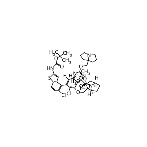 CC(C)(C)OC(=O)Nc1cc2c(-c3c(Cl)c4c5c(nc(OCC67CCCN6CCC7)nc5c3F)N3C[C@H]5CC[C@@H]([C@H]3CO4)N5C(=O)OC(C)(C)C)c(Cl)ccc2s1